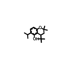 CC(C)c1ccc2c(c1O)C(C(C)(C)C)CC(C)(C)O2